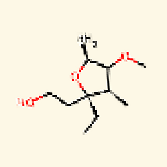 B[C@@H]1O[C@@](CC)(CCO)[C@H](C)C1OC